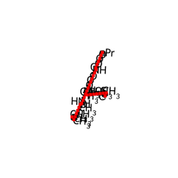 CCCOCCOCCOCCC(=O)NCCCOCCOCCOCCCNC(=O)[C@H](CCCCNC(=O)/C=C(C)/C=C/C=C(C)/C=C/C1=C(C)CCCC1(C)C)NC(=O)/C=C(C)/C=C/C=C(C)/C=C/C1=C(C)CCCC1(C)C